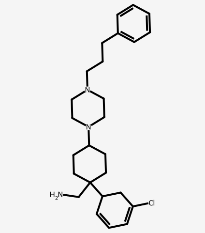 NCC1(C2C=CC=C(Cl)C2)CCC(N2CCN(CCCc3ccccc3)CC2)CC1